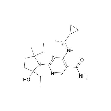 CCC1(C)CCC(O)(CC)N1c1ncc(C(N)=O)c(N[C@H](C)C2CC2)n1